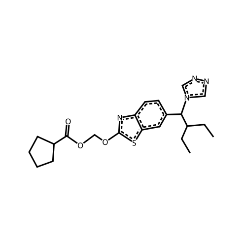 CCC(CC)C(c1ccc2nc(OCOC(=O)C3CCCC3)sc2c1)n1cnnc1